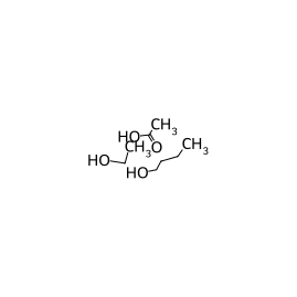 CC(=O)O.CCCCO.CCO